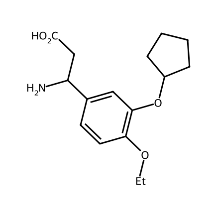 CCOc1ccc(C(N)CC(=O)O)cc1OC1CCCC1